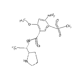 COc1cc(N)c(S(C)(=O)=O)cc1C(=O)NC(C)C1CCCN1